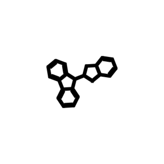 [C]1C2C=CC=CC2CC1C1c2ccccc2-c2ccccc21